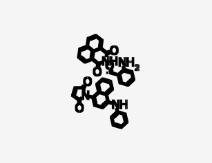 Nc1ccccc1[C]=O.O=C1C=CC(=O)N1c1ccc(Nc2ccccc2)c2ccccc12.O=C1NC(=O)c2cccc3cccc1c23